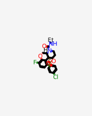 CCNC(=O)N1CCC[C@]2(S(=O)(=O)c3ccc(Cl)cc3)c3c(F)ccc(F)c3OC[C@H]12